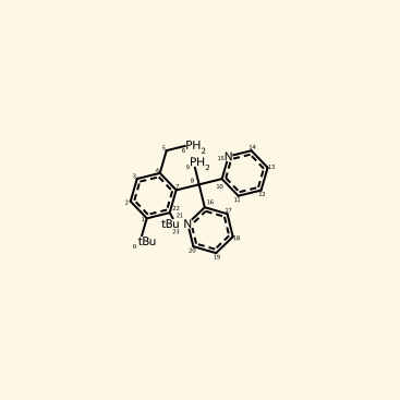 CC(C)(C)c1ccc(CP)c(C(P)(c2ccccn2)c2ccccn2)c1C(C)(C)C